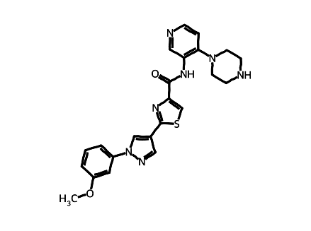 COc1cccc(-n2cc(-c3nc(C(=O)Nc4cnccc4N4CCNCC4)cs3)cn2)c1